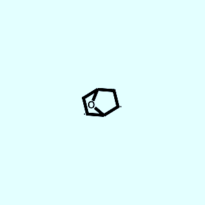 [CH]1CC2C[CH]C1O2